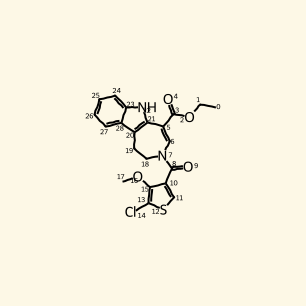 CCOC(=O)C1=CN(C(=O)c2csc(Cl)c2OC)CCc2c1[nH]c1ccccc21